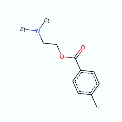 [CH2]c1ccc(C(=O)OCCN(CC)CC)cc1